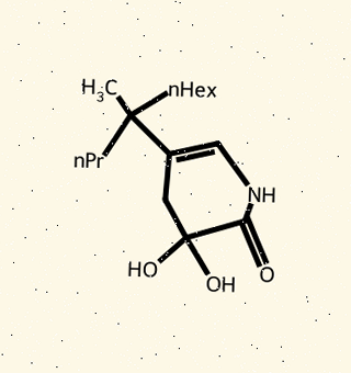 CCCCCCC(C)(CCC)C1=CNC(=O)C(O)(O)C1